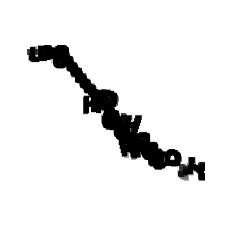 CC(C)(C)OC(=O)CCCCCCCCCCCCCCCCC(=O)NCCCC(=O)NCCOCCOCC(=O)NCCOCCOCC(=O)O